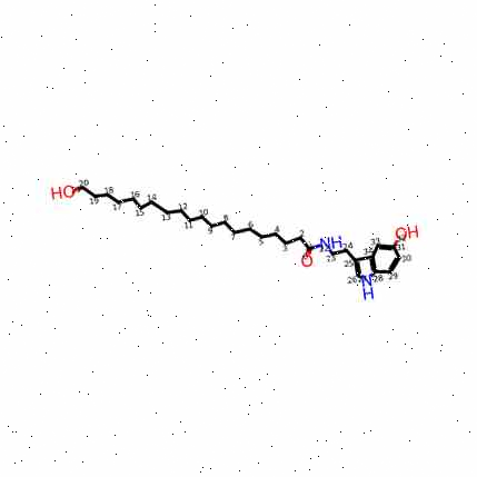 O=C(CCCCCCCCCCCCCCCCCCCO)NCCc1c[nH]c2ccc(O)cc12